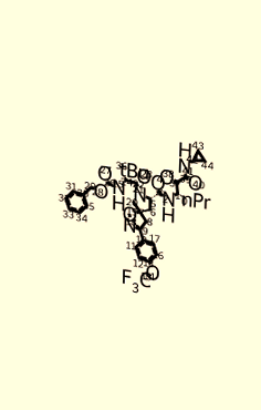 CCC[C@H](NC(=O)[C@@H]1C[C@]2(CC(c3ccc(OC(F)(F)F)cc3)=NO2)CN1C(=O)[C@@H](NC(=O)OCc1ccccc1)C(C)(C)C)C(=O)C(=O)NC1CC1